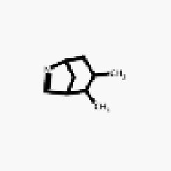 CC1CC2CC(C=N2)C1C